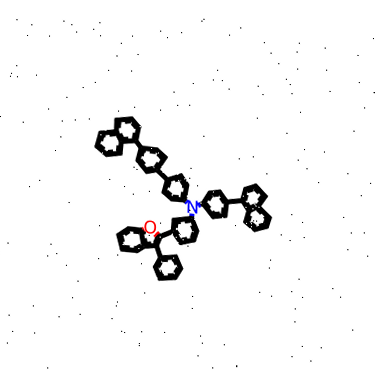 c1ccc(-c2c(-c3cccc(N(c4ccc(-c5ccc(-c6cccc7ccccc67)cc5)cc4)c4ccc(-c5cccc6ccccc56)cc4)c3)oc3ccccc23)cc1